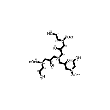 CCCCCCCCN(CCO)CC(O)CN(CC(O)CN(CCO)CCCCCCCC)CC(O)CN(CCO)CCCCCCCC